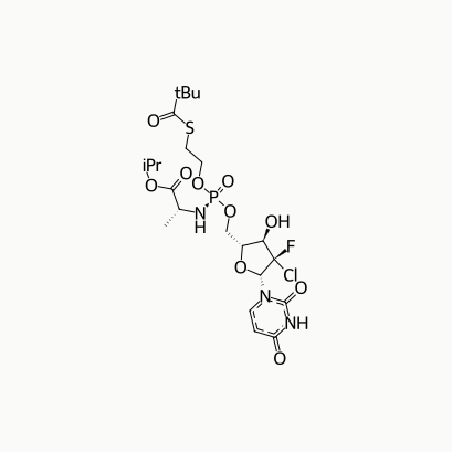 CC(C)OC(=O)[C@@H](C)N[P@](=O)(OCCSC(=O)C(C)(C)C)OC[C@H]1O[C@@H](n2ccc(=O)[nH]c2=O)[C@@](F)(Cl)[C@@H]1O